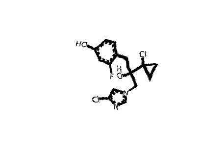 Oc1ccc(CC(O)(Cn2cnc(Cl)c2)C2(Cl)CC2)c(F)c1